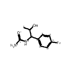 CC(O)C(NC(N)=O)c1ccc(F)cc1